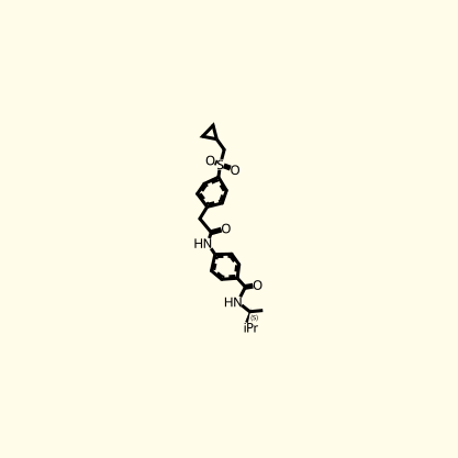 CC(C)[C@H](C)NC(=O)c1ccc(NC(=O)Cc2ccc(S(=O)(=O)CC3CC3)cc2)cc1